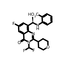 C[C@@H](Nc1ccccc1C(=O)O)c1cc(F)cc2c(=O)n(C(F)F)c(C3CCOCC3)nc12